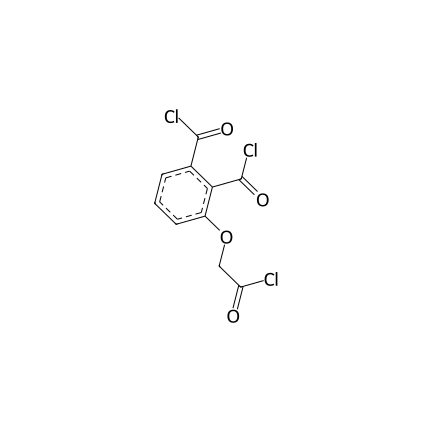 O=C(Cl)COc1cccc(C(=O)Cl)c1C(=O)Cl